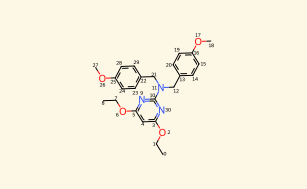 CCOc1cc(OCC)nc(N(Cc2ccc(OC)cc2)Cc2ccc(OC)cc2)n1